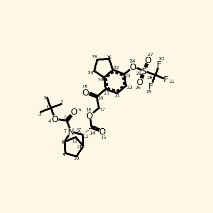 CC(C)(C)OC(=O)N1C2CCC(C2)[C@H]1C(=O)OCC(=O)c1ccc(OS(=O)(=O)C(F)(F)F)c2c1CCC2